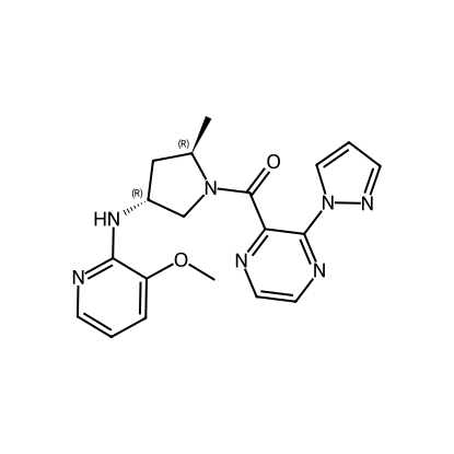 COc1cccnc1N[C@@H]1C[C@@H](C)N(C(=O)c2nccnc2-n2cccn2)C1